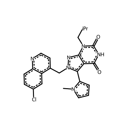 CC(C)Cn1c(=O)[nH]c(=O)c2c(-c3cccn3C)n(Cc3ccnc4ccc(Cl)cc34)nc21